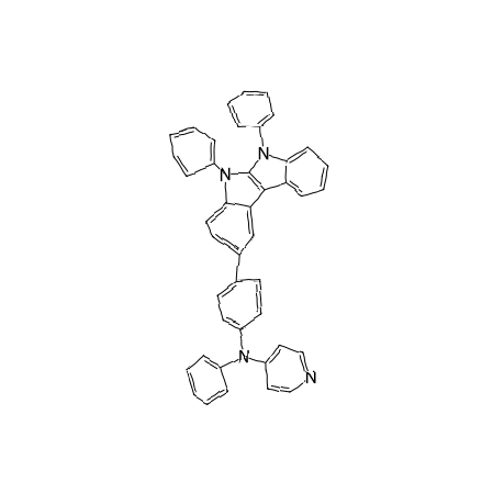 c1ccc(N(c2ccncc2)c2ccc(-c3ccc4c(c3)c3c5ccccc5n(-c5ccccc5)c3n4-c3ccccc3)cc2)cc1